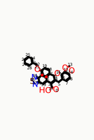 O=C(O)/C(=C(\Cc1ccc2c(c1)OCO2)C(=O)c1ccc(OCc2ccccc2)cc1)c1ccc2nsnc2c1